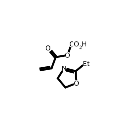 C=CC(=O)OC(=O)O.CCC1=NCCO1